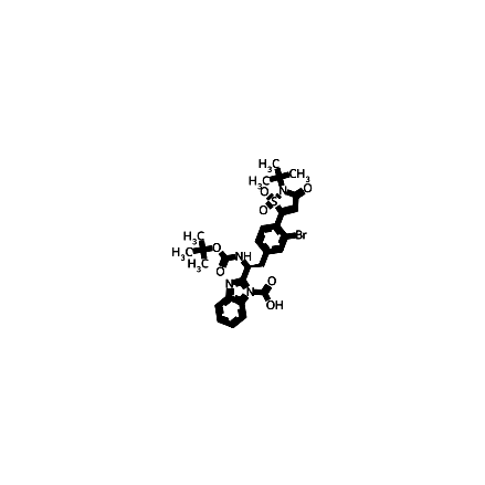 CC(C)(C)OC(=O)N[C@@H](Cc1ccc(C2=CC(=O)N(C(C)(C)C)S2(=O)=O)c(Br)c1)c1nc2ccccc2n1C(=O)O